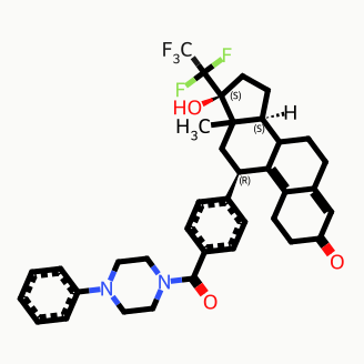 CC12C[C@H](c3ccc(C(=O)N4CCN(c5ccccc5)CC4)cc3)C3=C4CCC(=O)C=C4CCC3[C@@H]1CC[C@@]2(O)C(F)(F)C(F)(F)F